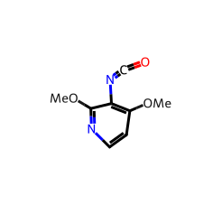 COc1ccnc(OC)c1N=C=O